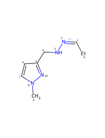 CC/C=N\NCc1ccn(C)n1